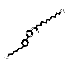 CCCCCCCCCCCC(=O)Oc1cnc(-c2ccc(CCCCCCC)cc2)nc1